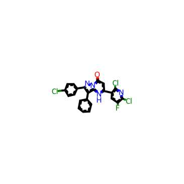 O=c1cc(-c2cc(F)c(Cl)nc2Cl)[nH]c2c(-c3ccccc3)c(-c3ccc(Cl)cc3)nn12